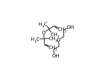 C=CC(C)(C)OC(C)(C)C=C.OCCOCCO